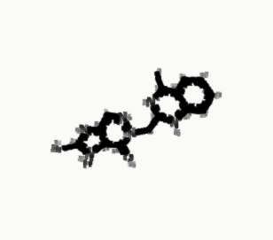 Cc1nc(Cn2ncc3nc(Br)[nH]c3c2=O)nc2ccccc12